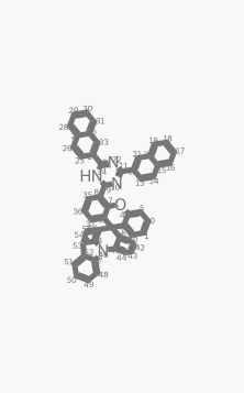 c1ccc2c(c1)Oc1c(C3N=C(c4ccc5ccccc5c4)N=C(c4ccc5ccccc5c4)N3)cccc1C21c2ccccc2-n2c3ccccc3c3cccc1c32